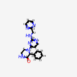 O=C1NCCN(c2ccnc(NCc3ncccn3)n2)C1c1ccccc1